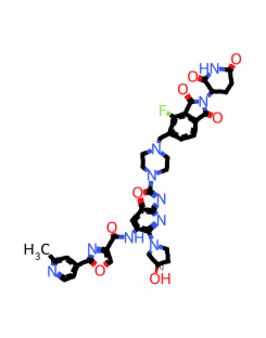 Cc1cc(-c2nc(C(=O)Nc3cc4oc(N5CCN(Cc6ccc7c(c6F)C(=O)N(C6CCC(=O)NC6=O)C7=O)CC5)nc4nc3N3CC[C@@H](O)C3)co2)ccn1